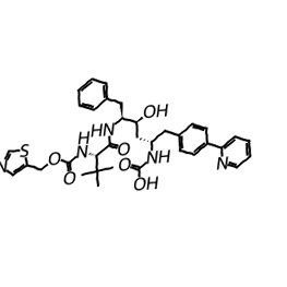 CC(C)(C)[C@H](NC(=O)OCc1cncs1)C(=O)N[C@@H](Cc1ccccc1)[C@@H](O)C[C@H](Cc1ccc(-c2ccccn2)cc1)NC(=O)O